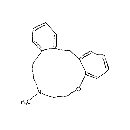 CN1CCOc2ccccc2Cc2ccccc2CC1